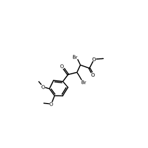 COC(=O)C(Br)C(Br)C(=O)c1ccc(OC)c(OC)c1